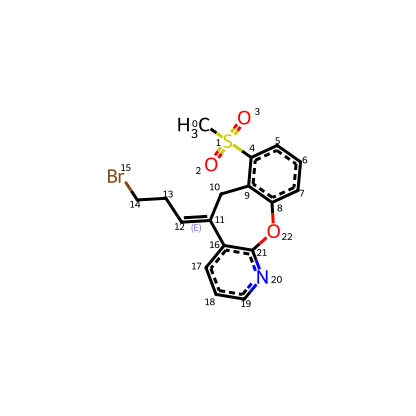 CS(=O)(=O)c1cccc2c1C/C(=C\CCBr)c1cccnc1O2